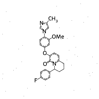 COc1cc(Oc2ccc3n(c2=O)C(c2ccc(F)cc2)CCC3)ccc1-n1cnc(C)c1